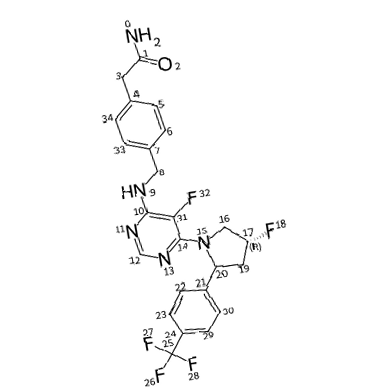 NC(=O)Cc1ccc(CNc2ncnc(N3C[C@H](F)CC3c3ccc(C(F)(F)F)cc3)c2F)cc1